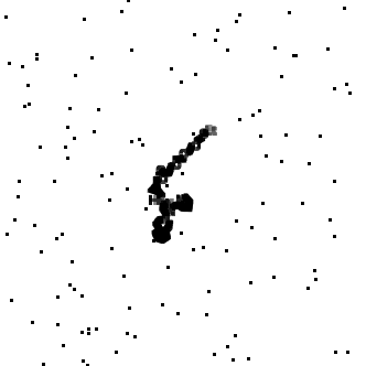 CCOCCOCCOCCOCCC(=O)OCC1CC1CNc1cc(N2CCc3ccccc3CC2)nc(-c2ccccn2)n1